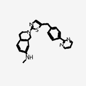 CNc1ccc2c(c1)CN(c1ncc(Cc3ccc(-c4ncccn4)cc3)s1)CC2